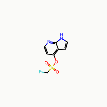 O=S(=O)(CF)Oc1ccnc2[nH]ccc12